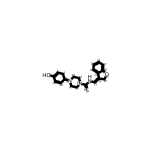 OC1=CCC(N2CCN(C(=S)N/C=C3/COc4ccccc43)CC2)C=C1